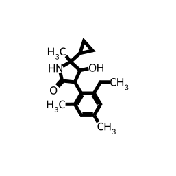 CCc1cc(C)cc(C)c1C1C(=O)NC(C)(C2CC2)C1O